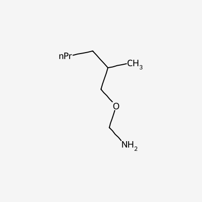 CCCCC(C)COCN